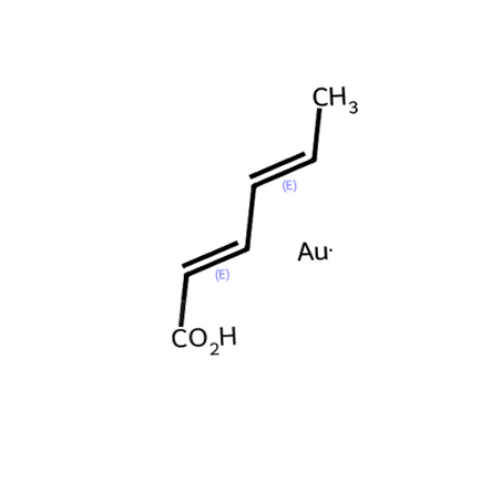 C/C=C/C=C/C(=O)O.[Au]